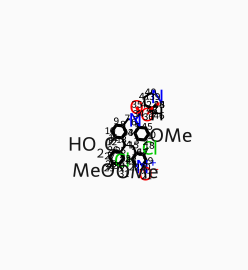 COc1cccc(N(Cc2ccc(C(=O)O)c([C@@H](Cc3c(Cl)c[n+]([O-])cc3Cl)c3ccc(OC)c(OC)c3)c2)C(=O)O[C@H]2CN3CCC2CC3)c1